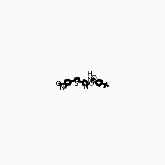 CN1Cc2cc(-c3ccc(-c4cncc(NS(=O)(=O)c5ccc(C(C)(C)C)cc5)c4)s3)ccc2C1=O